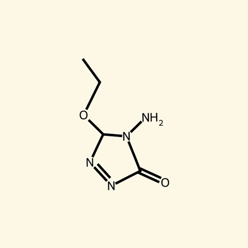 CCOC1N=NC(=O)N1N